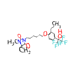 C=C1C(=O)N(CCCCCCOc2ccc(C(O)(C(F)(F)F)C(F)(F)F)cc2CCC)C(=O)N1C